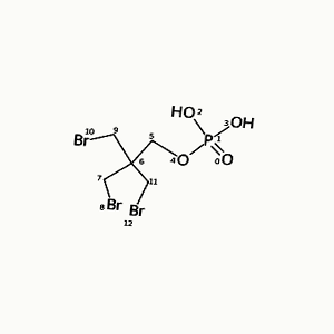 O=P(O)(O)OCC(CBr)(CBr)CBr